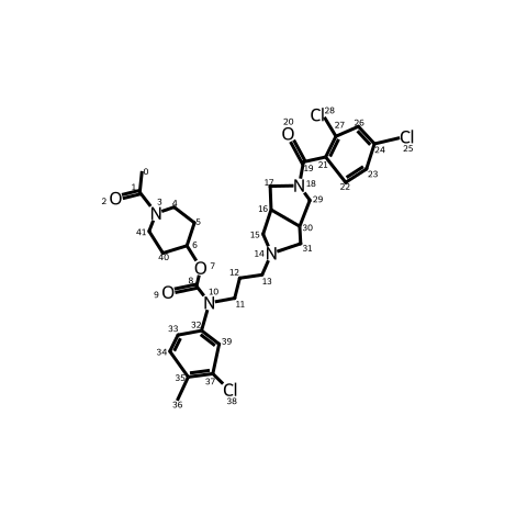 CC(=O)N1CCC(OC(=O)N(CCCN2CC3CN(C(=O)c4ccc(Cl)cc4Cl)CC3C2)c2ccc(C)c(Cl)c2)CC1